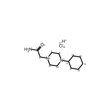 NC(=O)CN1CCN(C2CCCCC2)CC1.[Cl-].[H+]